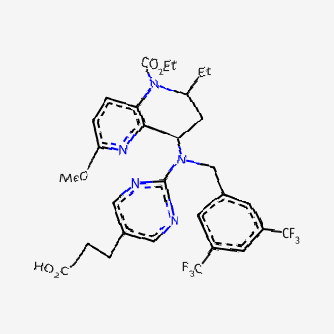 CCOC(=O)N1c2ccc(OC)nc2C(N(Cc2cc(C(F)(F)F)cc(C(F)(F)F)c2)c2ncc(CCC(=O)O)cn2)CC1CC